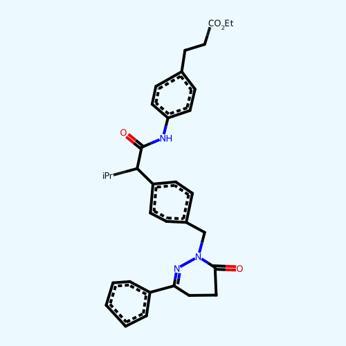 CCOC(=O)CCc1ccc(NC(=O)C(c2ccc(CN3N=C(c4ccccc4)CCC3=O)cc2)C(C)C)cc1